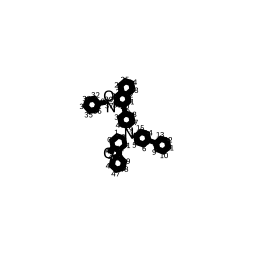 C1=CC(N(c2ccc(-c3ccccc3)cc2)c2ccc(-c3cc4ccccc4c4oc(-c5ccccc5)nc34)cc2)Cc2c1oc1ccccc21